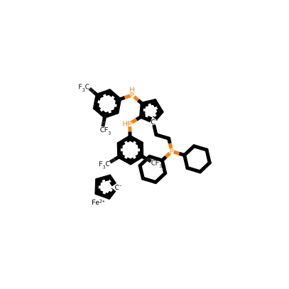 FC(F)(F)c1cc(Pc2cc[c-](CCP(C3CCCCC3)C3CCCCC3)c2Pc2cc(C(F)(F)F)cc(C(F)(F)F)c2)cc(C(F)(F)F)c1.[Fe+2].c1cc[cH-]c1